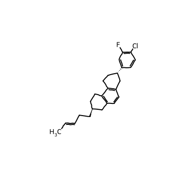 C/C=C/CC[C@H]1CCc2c(ccc3c2CC[C@H](c2ccc(Cl)c(F)c2)C3)C1